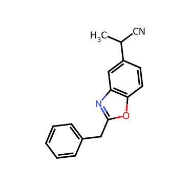 CC(C#N)c1ccc2oc(Cc3ccccc3)nc2c1